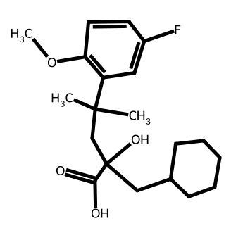 COc1ccc(F)cc1C(C)(C)CC(O)(CC1CCCCC1)C(=O)O